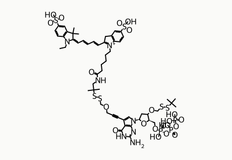 CCN1/C(=C/C=C/C=C/C2=[N+](CCCCCC(=O)NCC(C)(C)SSCOCC#Cc3cn([C@H]4CC(OCSSC(C)(C)C)[C@@H](COP(=O)(O)OP(=O)(O)OP(=O)(O)O)O4)c4nc(N)[nH]c(=O)c34)c3ccc(S(=O)(=O)O)cc3C2)C(C)(C)c2cc(S(=O)(=O)O)ccc21